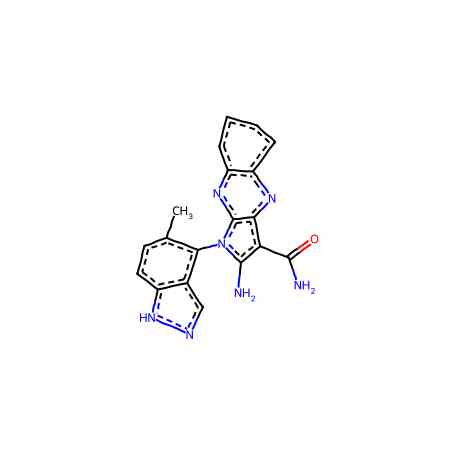 Cc1ccc2[nH]ncc2c1-n1c(N)c(C(N)=O)c2nc3ccccc3nc21